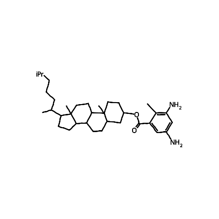 Cc1c(N)cc(N)cc1C(=O)OC1CCC2(C)C(CCC3C2CCC2(C)C(C(C)CCCC(C)C)CCC32)C1